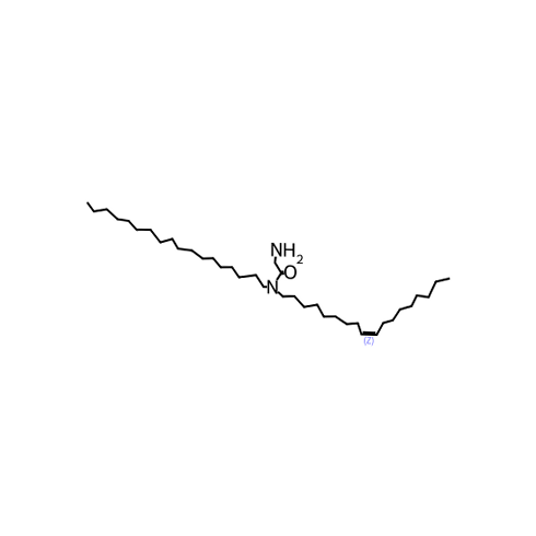 CCCCCCCC/C=C\CCCCCCCCN(CCCCCCCCCCCCCCCCCC)C(=O)CN